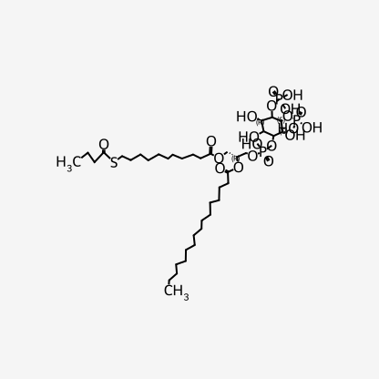 CCCCCCCCCCCCCCCC(=O)O[C@H](COC(=O)CCCCCCCCCCSC(=O)CCC)COP(=O)(O)OC1C(O)[C@@H](O)C(OP(=O)(O)O)[C@@H](OP(=O)(O)O)[C@H]1O